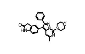 Cc1cc2c(-c3ccc4c(c3)CC(=O)N4)c(-c3ccccc3)nn2c(N2CCOCC2)n1